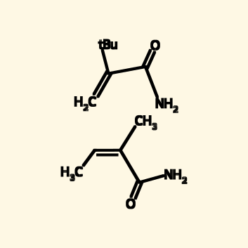 C=C(C(N)=O)C(C)(C)C.CC=C(C)C(N)=O